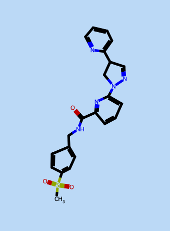 CS(=O)(=O)c1ccc(CNC(=O)c2cccc(N3CC(c4ccccn4)C=N3)n2)cc1